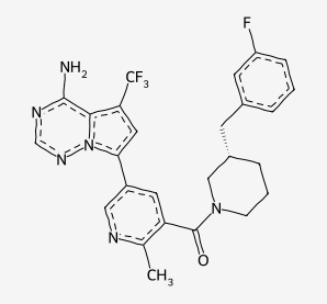 Cc1ncc(-c2cc(C(F)(F)F)c3c(N)ncnn23)cc1C(=O)N1CCC[C@@H](Cc2cccc(F)c2)C1